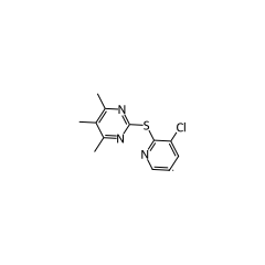 Cc1nc(Sc2nc[c]cc2Cl)nc(C)c1C